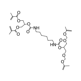 C=C(C)OCOCC(COCOC(=C)C)OC(=O)NCCCCCCNC(=O)OC(COC(=O)C(=C)C)COC(=O)C(=C)C